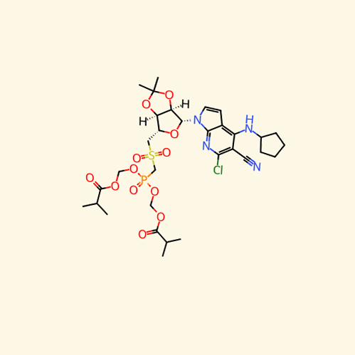 CC(C)C(=O)OCOP(=O)(CS(=O)(=O)C[C@H]1O[C@@H](n2ccc3c(NC4CCCC4)c(C#N)c(Cl)nc32)[C@@H]2OC(C)(C)O[C@@H]21)OCOC(=O)C(C)C